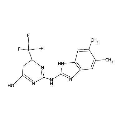 Cc1cc2nc(NC3=NC(C(F)(F)F)CC(O)=N3)[nH]c2cc1C